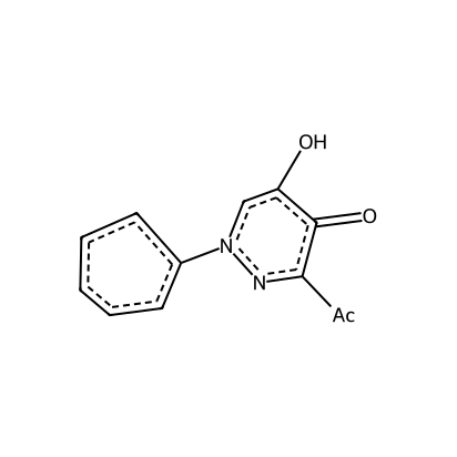 CC(=O)c1nn(-c2ccccc2)cc(O)c1=O